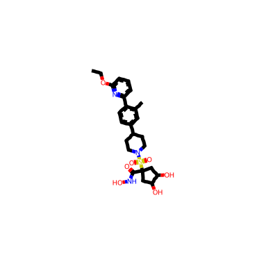 CCOc1cccc(-c2ccc(C3CCN(S(=O)(=O)C4(C(=O)NO)CC(O)C(O)C4)CC3)cc2C)n1